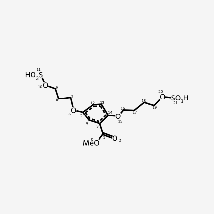 COC(=O)c1cc(OCCCOS(=O)(=O)O)ccc1OCCCCOS(=O)(=O)O